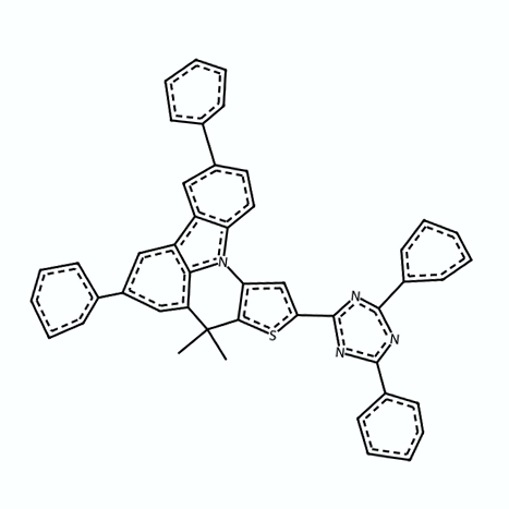 CC1(C)c2sc(-c3nc(-c4ccccc4)nc(-c4ccccc4)n3)cc2-n2c3ccc(-c4ccccc4)cc3c3cc(-c4ccccc4)cc1c32